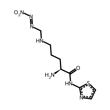 N[C@@H](CCCNCN=N[N+](=O)[O-])C(=O)Nc1nccs1